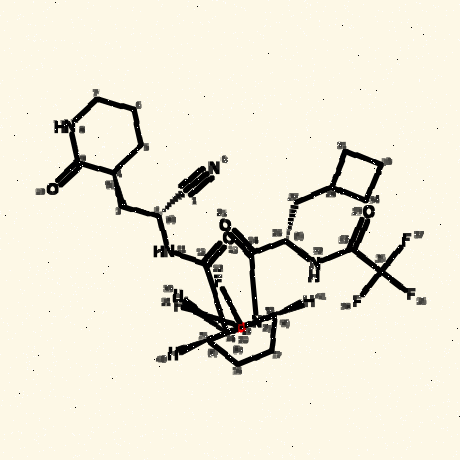 N#C[C@@H](C[C@@H]1CCCNC1=O)NC(=O)[C@H]1[C@H]2CC[C@H](CC2(F)F)N1C(=O)[C@H](CC1CCC1)NC(=O)C(F)(F)F